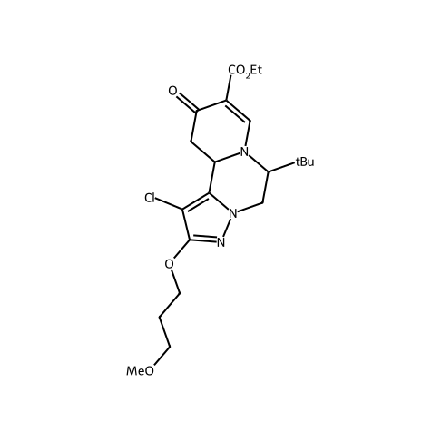 CCOC(=O)C1=CN2C(CC1=O)c1c(Cl)c(OCCCOC)nn1CC2C(C)(C)C